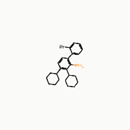 CC(C)c1ccccc1-c1ccc(C2CCCCC2)c(C2CCCCC2)c1P